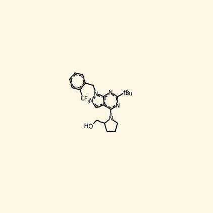 CC(C)(C)c1nc(N2CCCC2CO)c2cnn(Cc3ccccc3C(F)(F)F)c2n1